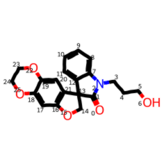 O=C1N(CCCO)c2ccccc2C12COc1cc3c(cc12)OCCO3